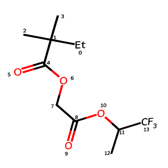 CCC(C)(C)C(=O)OCC(=O)OC(C)C(F)(F)F